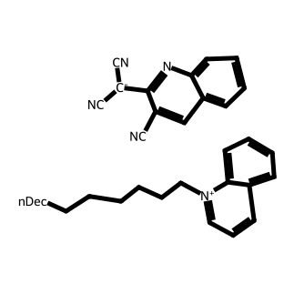 CCCCCCCCCCCCCCCC[n+]1cccc2ccccc21.N#Cc1cc2ccccc2nc1[C-](C#N)C#N